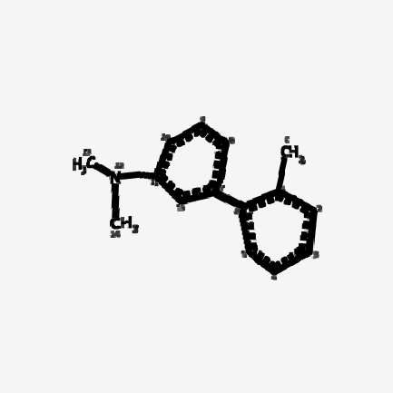 Cc1ccccc1-c1[c]ccc(N(C)C)c1